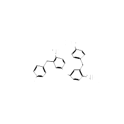 Nc1ccc(Oc2ccc(N)c(Cc3ccc(O)cc3)c2)cc1Cc1ccc(O)cc1